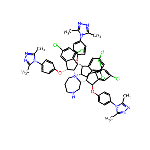 Cc1nnc(C)n1-c1ccc(O[C@@H]2c3cc(Cl)cc(Cl)c3C[C@H]2C2CNCCC[N+]2([C@H]2Cc3c(Cl)cc(Cl)cc3[C@H]2Oc2ccc(-n3c(C)nnc3C)cc2)[C@H]2Cc3c(Cl)cc(Cl)cc3[C@H]2Oc2ccc(-n3c(C)nnc3C)cc2)cc1